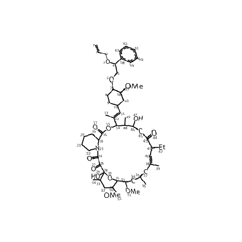 C=CCOC(COC1CCC(C=C(C)C2OC(=O)C3CCCCN3C(=O)C(=O)C3(O)OC(C(OC)CC(C)C/C(C)=C/C(CC)C(=O)CC(O)C2C)C(OC)CC3C)CC1OC)c1ccccc1